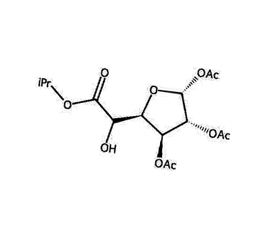 CC(=O)O[C@H]1O[C@H](C(O)C(=O)OC(C)C)[C@H](OC(C)=O)[C@H]1OC(C)=O